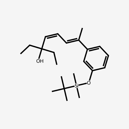 CCC(O)(/C=C\C=C(C)c1cccc(O[Si](C)(C)C(C)(C)C)c1)CC